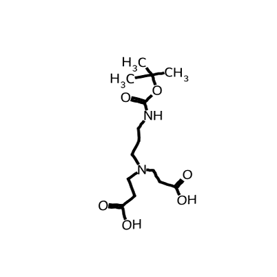 CC(C)(C)OC(=O)NCCCN(CCC(=O)O)CCC(=O)O